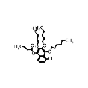 CCCCCCOc1c(OCCCCC)c(OCCCCC)c(OC(=O)CCC)c2cccc(Cl)c12